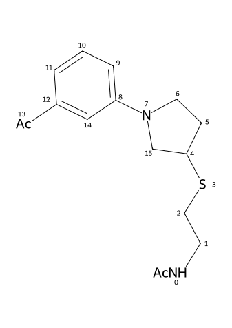 CC(=O)NCCSC1CCN(c2cccc(C(C)=O)c2)C1